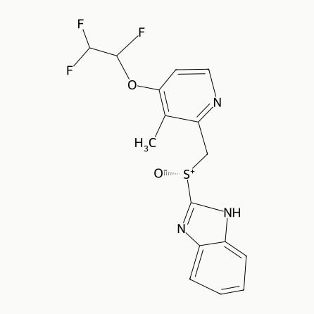 Cc1c(OC(F)C(F)F)ccnc1C[S@@+]([O-])c1nc2ccccc2[nH]1